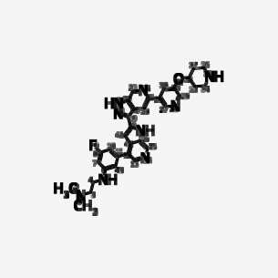 CN(C)CCNc1cc(F)cc(-c2cncc3[nH]c(-c4n[nH]c5cnc(-c6cncc(OC7CCNCC7)c6)cc45)cc23)c1